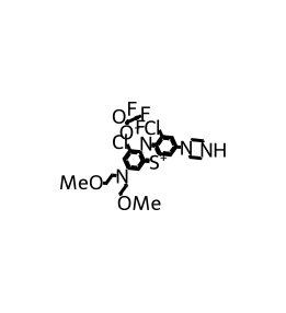 COCCN(CCOC)c1cc(Cl)c2nc3c(Cl)cc(N4CCNCC4)cc3[s+]c2c1.O=C([O-])C(F)(F)F